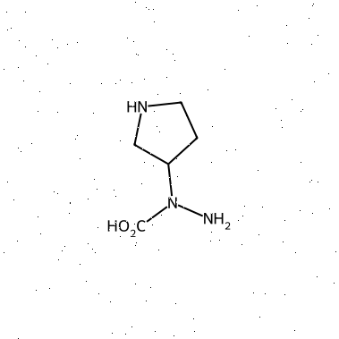 NN(C(=O)O)C1CCNC1